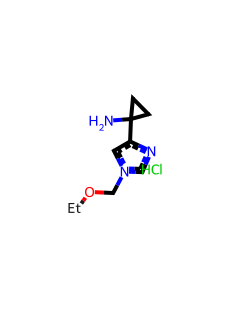 CCOCn1cnc(C2(N)CC2)c1.Cl